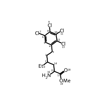 CCC(CCc1cc(Cl)c(Cl)c(Cl)c1Cl)CC(N)C(=O)OC